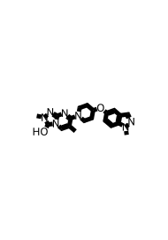 CC1=CN2C(=NN(C)C2O)N=C1N1CCC(Oc2ccc3c(cnn3C)c2)CC1